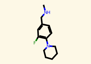 CNCc1ccc(N2CCCCC2)c(F)c1